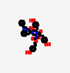 O=C(NCCc1ccccc1)[C@H](Cc1ccccc1)N1CC2N(C(=O)OCCc3ccc(O)cc3)O[C@H](Cc3ccc(O)cc3)C(=O)N2[C@@H](Cc2ccc(O)cc2)C1=O